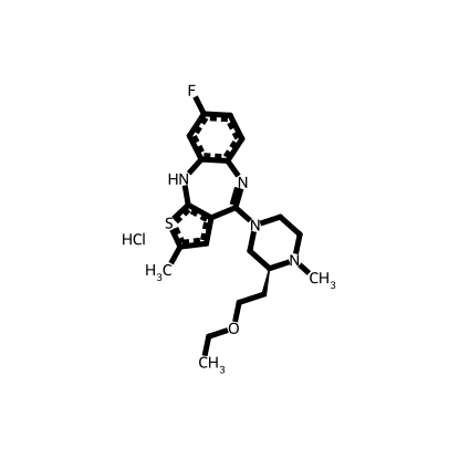 CCOCC[C@H]1CN(C2=Nc3ccc(F)cc3Nc3sc(C)cc32)CCN1C.Cl